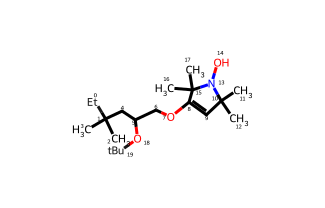 CCC(C)(C)CC(COC1=CC(C)(C)N(O)C1(C)C)OC(C)(C)C